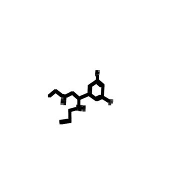 C=CCNC(CNCC)c1cc(F)cc(F)c1